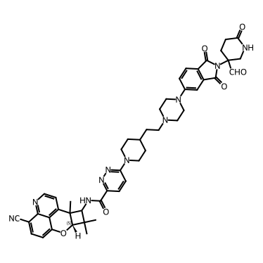 CC1(C)C(NC(=O)c2ccc(N3CCC(CCN4CCN(c5ccc6c(c5)C(=O)N(C5(C=O)CCC(=O)NC5)C6=O)CC4)CC3)nn2)C2(C)c3ccnc4c(C#N)ccc(c34)O[C@@H]12